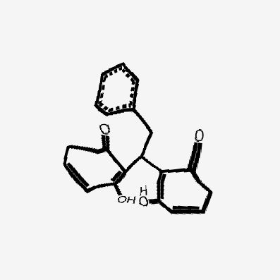 O=C1CC=CC(O)=C1C(Cc1ccccc1)C1=C(O)C=CCC1=O